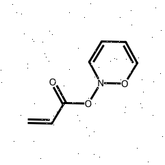 C=CC(=O)ON1C=CC=CO1